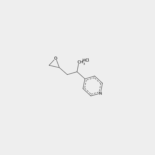 CC(CC1CO1)c1ccncc1.Cl